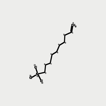 C=CCCCCCCCC[Si](Cl)(Cl)Cl